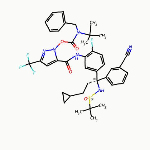 CC(C)(C)N(Cc1ccccc1)C(=O)On1nc(C(F)(F)F)cc1C(=O)Nc1cc([C@](CCC2CC2)(N[S@+]([O-])C(C)(C)C)c2cccc(C#N)c2)ccc1F